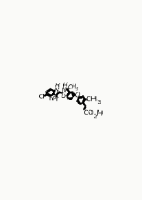 CCCc1c(C(=O)N[C@H](C)c2cccc(Oc3ccc(CCC(=O)O)c(C)c3)c2)[nH]c2ccc(Cl)cc12